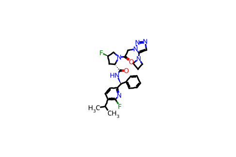 CC(C)c1ccc([C@@H](NC(=O)[C@@H]2C[C@@H](F)CN2C(=O)Cn2nncc2N2CCC2)c2ccccc2)nc1F